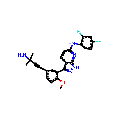 COc1ccc(C#CC(C)(C)N)cc1-c1n[nH]c2nc(Nc3ccc(F)cc3F)ccc12